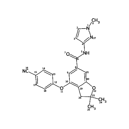 Cn1ccc(NC(=O)c2cc(Oc3ccc(C#N)cc3)c3c(c2)OC(C)(C)C3)n1